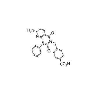 Nc1ccc2c(=O)n(Cc3ccc(C(=O)O)cc3)c(=O)n(-c3ccccc3)c2n1